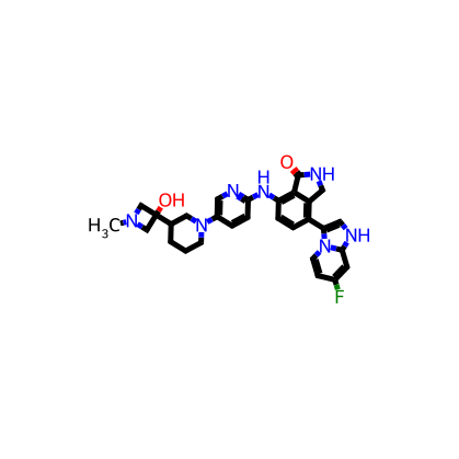 CN1CC(O)(C2CCCN(c3ccc(Nc4ccc(C5=CNC6C=C(F)C=CN56)c5c4C(=O)NC5)nc3)C2)C1